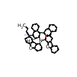 C=C/C=C\c1c(C)c(N(c2cccc3c2oc2ccccc23)c2cccc3oc4ccccc4c23)c(-c2ccc3ccccc3c2)c2ccccc12